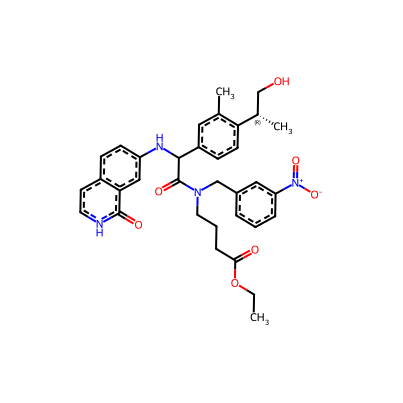 CCOC(=O)CCCN(Cc1cccc([N+](=O)[O-])c1)C(=O)C(Nc1ccc2cc[nH]c(=O)c2c1)c1ccc([C@@H](C)CO)c(C)c1